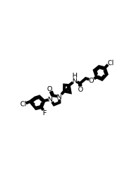 O=C(COc1ccc(Cl)cc1)NC12CC(N3CCN(c4ccc(Cl)cc4F)C3=O)(C1)C2